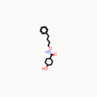 O=C(NOCCCCc1ccccc1)C1CCC(O)CC1